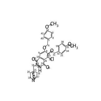 COc1ccc(COc2cc3c(=O)n(CC45CCN(CC4)CC5)[nH]c(=O)c3c(Cl)c2OCc2ccc(OC)cc2)cc1